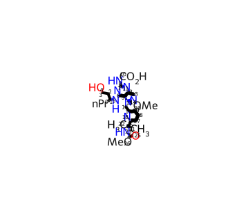 CCCC(CCO)Nc1nc(NC(=O)O)nc2cnn(Cc3nc(C(C)(C)NC(=O)OC)ccc3OC)c12